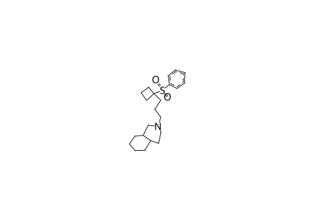 O=S(=O)(c1ccccc1)C1(CCCN2CCC3CCCCC3C2)CCC1